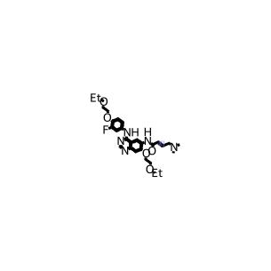 CCOCCOc1ccc(Nc2ncnc3cc(OCCOCC)c(NC(=O)/C=C/CN(C)C)cc23)cc1F